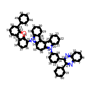 c1ccc(-c2nc3ccccc3nc2-c2cccc(-n3c4ccccc4c4c5c6ccccc6n(-c6cccc7c6oc6c(-c8ccccc8)cccc67)c5ccc43)c2)cc1